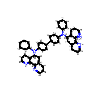 c1ccc(N(c2ccc(-c3ccc(N(c4ccccc4)c4cc5cccnc5c5ncccc45)cc3)cc2)c2cc3cccnc3c3ncccc23)cc1